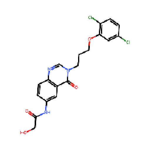 O=C(CO)Nc1ccc2ncn(CCCOc3cc(Cl)ccc3Cl)c(=O)c2c1